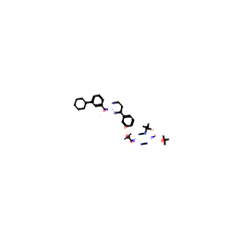 CC(C)(C)OC(=O)N1CCN(C(=O)C(C)(C)Oc2cccc(C3CCCN(C(=O)c4cccc(C5CCCCC5)c4)C3)c2)CC1C(C)(C)C